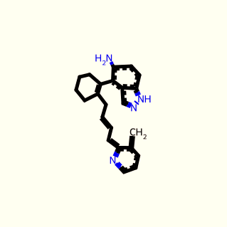 C=c1cccn/c1=C/C=C/CC1=C(c2c(N)ccc3[nH]ncc23)CCCC1